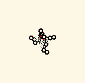 c1ccc2cc(-c3nc(-c4c(-n5c6cc7ccccc7cc6c6cc7ccccc7cc65)ccc5c4oc4ccc6ccccc6c45)nc(-c4cccc5c4sc4ccccc45)n3)ccc2c1